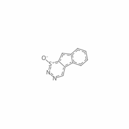 [O-][s+]1nncc2c3ccccc3cc1-2